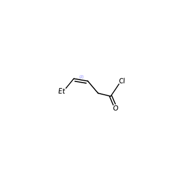 CC/C=C\CC(=O)Cl